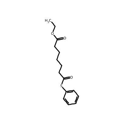 CCOC(=O)CCCCCC(=O)Sc1ccccc1